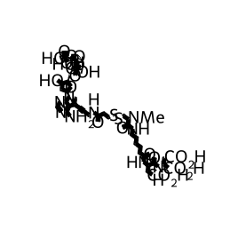 CNC(CSSCCC(=O)NCC#Cc1cn([C@H]2CC(O)[C@@H](COP(=O)(O)OP(=O)(O)OP(=O)(O)O)O2)c2ncnc(N)c12)C(=O)NCCCCCC(=O)NC(CC(=O)O)C(=O)NC(CC(=O)O)C(=O)O